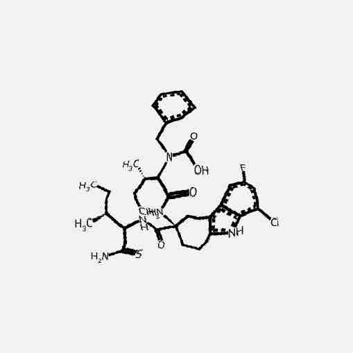 CC[C@H](C)C(NC(=O)[C@@]1(NC(=O)C([C@@H](C)CC)N(Cc2ccccc2)C(=O)O)CCc2[nH]c3c(Cl)cc(F)cc3c2C1)C(N)=S